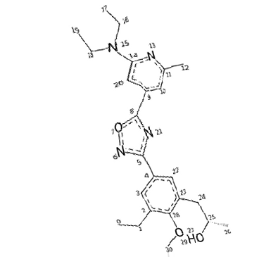 CCc1cc(-c2noc(-c3cc(C)nc(N(CC)CC)c3)n2)cc(C[C@H](C)O)c1OC